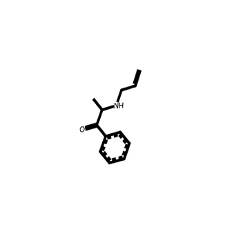 C=CCNC(C)C(=O)c1ccccc1